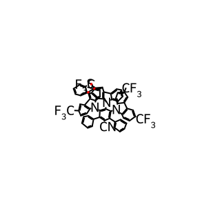 N#Cc1c(-c2ccccc2)c(-n2c3ccc(C(F)(F)F)cc3c3cc(C(F)(F)F)ccc32)c(-n2c3ccccc3c3cc4sc5ccccc5c4cc32)c(-n2c3ccc(C(F)(F)F)cc3c3cc(C(F)(F)F)ccc32)c1-c1ccccc1